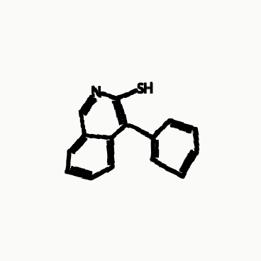 Sc1ncc2ccccc2c1-c1ccccc1